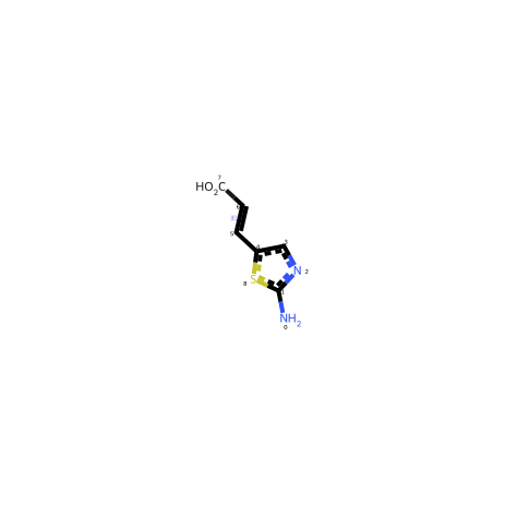 Nc1ncc(/C=C/C(=O)O)s1